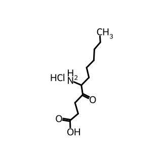 CCCCCCC(N)C(=O)CCC(=O)O.Cl